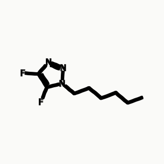 CCCCCCn1nnc(F)c1F